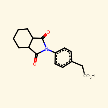 O=C(O)Cc1ccc(N2C(=O)C3CCCCC3C2=O)cc1